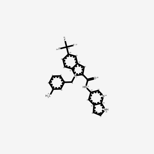 Cc1cccc(Cn2c(C(=O)Nc3cnc4[nH]ccc4c3)cc3cc(C(F)(F)F)ccc32)c1